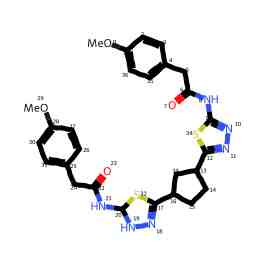 COc1ccc(CC(=O)Nc2nnc(C3CCC(C4=NNC(NC(=O)Cc5ccc(OC)cc5)S4)C3)s2)cc1